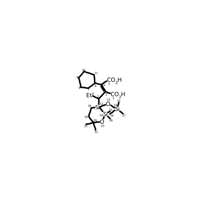 CCC(C(C(=O)O)=C(C(=O)O)C1CCCCC1)[Si]1(O[Si](C)(C)C)CCC(C)(C)O[Si]1(C)C